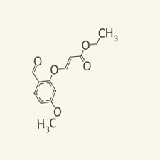 CCOC(=O)C=COc1cc(OC)ccc1C=O